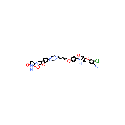 CC1(C)C(NC(=O)c2ccc(OCCCCCN3CCN(c4ccc5c6c(oc5c4)C(=O)N(C4CCC(=O)NC4=O)C6)CC3)cc2)C(C)(C)C1Oc1ccc(C#N)c(Cl)c1